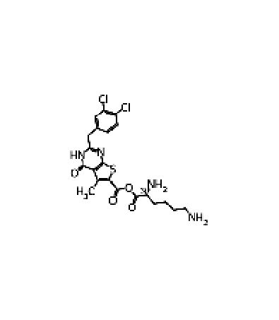 Cc1c(C(=O)OC(=O)[C@@H](N)CCCCN)sc2nc(Cc3ccc(Cl)c(Cl)c3)[nH]c(=O)c12